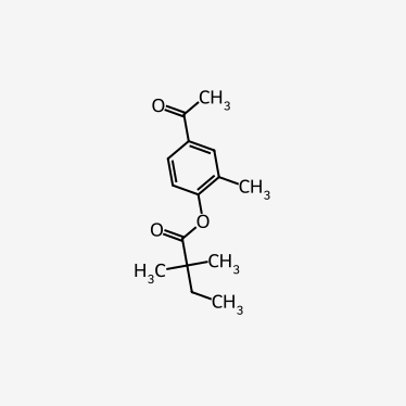 CCC(C)(C)C(=O)Oc1ccc(C(C)=O)cc1C